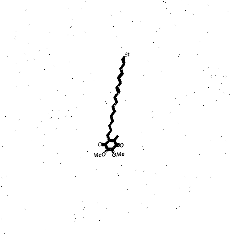 CCC=CCC=CCC=CCCCCCCCCCC1=C(C)C(=O)C(OC)=C(OC)C1=O